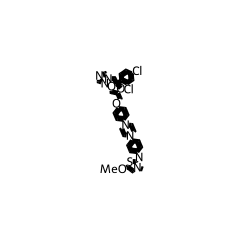 COC1CN(C)C(=Nc2ccc(N3CCN(c4ccc(OCC5COC(Cn6cncn6)(c6ccc(Cl)cc6Cl)O5)cc4)CC3)cc2)S1